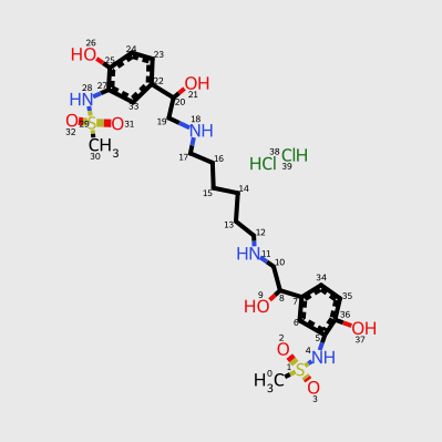 CS(=O)(=O)Nc1cc(C(O)CNCCCCCCNCC(O)c2ccc(O)c(NS(C)(=O)=O)c2)ccc1O.Cl.Cl